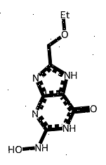 CCOCc1nc2nc(NO)[nH]c(=O)c2[nH]1